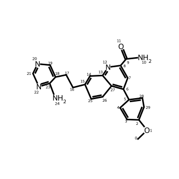 COc1ccc(-c2cc(C(N)=O)nc3cc(CCc4cncnc4N)ccc23)cc1